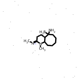 BC1(N)CCCCCC2C1CC/C(=N\C)N2C